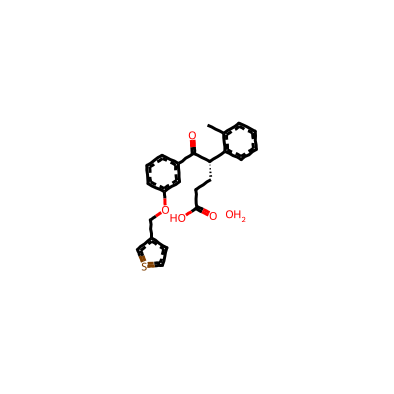 Cc1ccccc1[C@H](CCC(=O)O)C(=O)c1cccc(OCc2ccsc2)c1.O